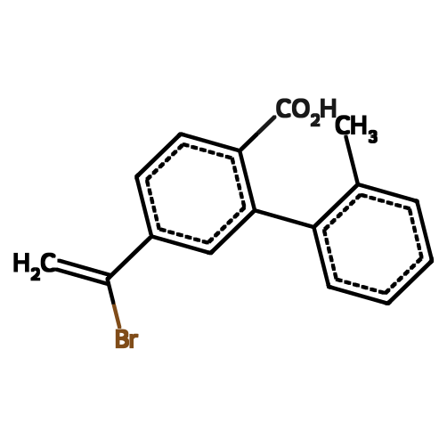 C=C(Br)c1ccc(C(=O)O)c(-c2ccccc2C)c1